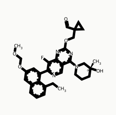 CCc1cccc2cc(OCOC)cc(-c3ncc4c(N5CCC[C@@](C)(O)C5)nc(OCC5(C=O)CC5)nc4c3F)c12